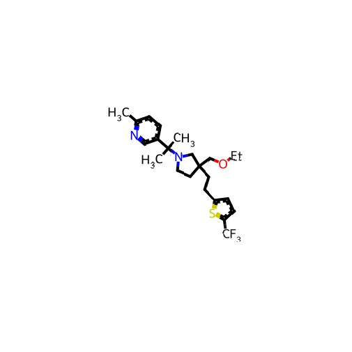 CCOCC1(CCc2ccc(C(F)(F)F)s2)CCN(C(C)(C)c2ccc(C)nc2)C1